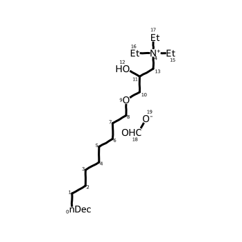 CCCCCCCCCCCCCCCCCCOCC(O)C[N+](CC)(CC)CC.O=C[O-]